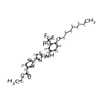 CCCCCCCCOc1ccc(Nc2nc(-c3nc(C(=O)OCC)cs3)cs2)cc1C(F)(F)F